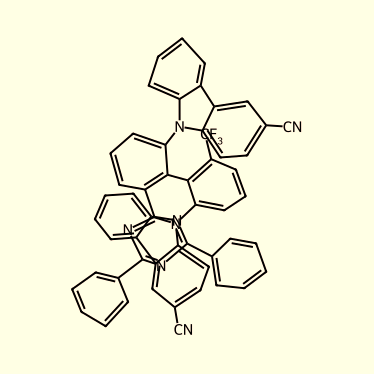 N#Cc1ccc2c(c1)c1ccccc1n2-c1cccc(-c2nc(-c3ccccc3)nc(-c3ccccc3)n2)c1-c1c(-n2c3ccccc3c3cc(C#N)ccc32)cccc1C(F)(F)F